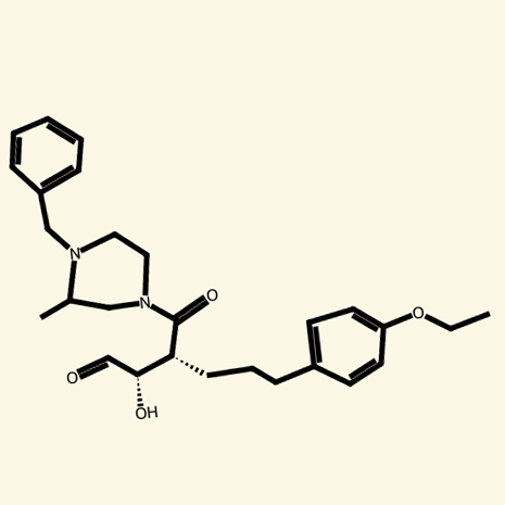 CCOc1ccc(CCC[C@@H](C(=O)N2CCN(Cc3ccccc3)C(C)C2)[C@H](O)C=O)cc1